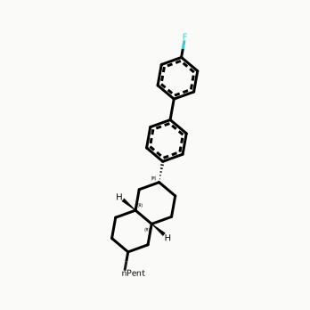 CCCCCC1CC[C@@H]2C[C@H](c3ccc(-c4ccc(F)cc4)cc3)CC[C@@H]2C1